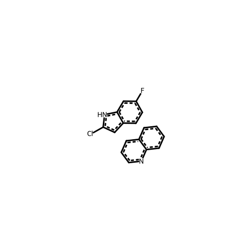 Fc1ccc2cc(Cl)[nH]c2c1.c1ccc2ncccc2c1